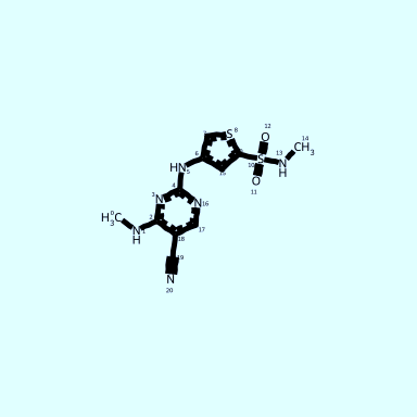 CNc1nc(Nc2csc(S(=O)(=O)NC)c2)ncc1C#N